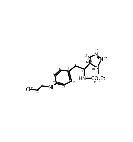 CCOC(=O)NC(Cc1ccc(NCCCl)cc1)c1nnn[nH]1